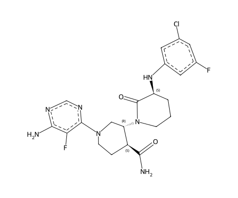 NC(=O)[C@H]1CCN(c2ncnc(N)c2F)C[C@@H]1N1CCC[C@H](Nc2cc(F)cc(Cl)c2)C1=O